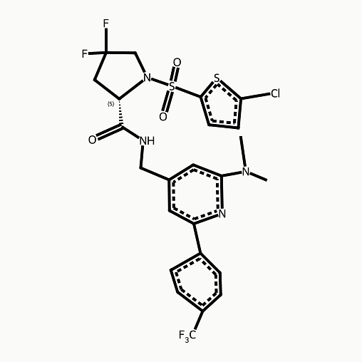 CN(C)c1cc(CNC(=O)[C@@H]2CC(F)(F)CN2S(=O)(=O)c2ccc(Cl)s2)cc(-c2ccc(C(F)(F)F)cc2)n1